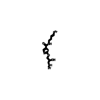 CCC/C=C/CCNC(=O)c1cnc(OCC(O)CNC(C)C)s1